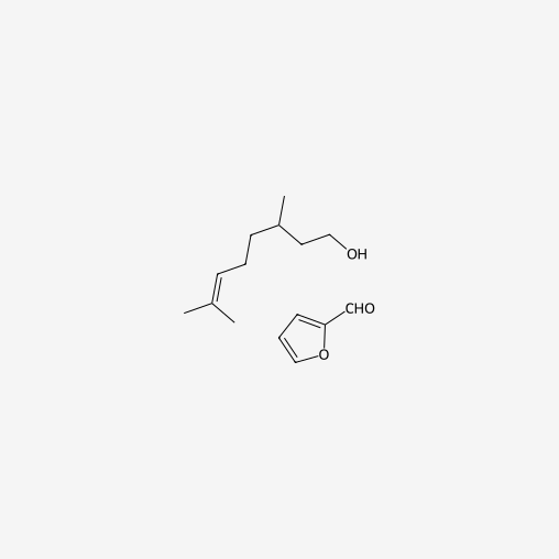 CC(C)=CCCC(C)CCO.O=Cc1ccco1